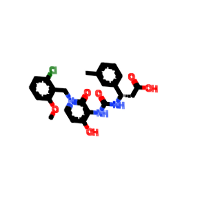 COc1cccc(Cl)c1Cn1ccc(O)c(NC(=O)N[C@@H](CC(=O)O)c2cccc(C)c2)c1=O